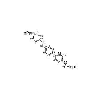 CCCCCCCOc1ccc(-c2ccc(CCc3ccc(CCC)cc3)cc2)nc1